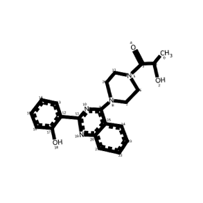 CC(O)C(=O)N1CCN(c2nc(-c3ccccc3O)nc3ccccc23)CC1